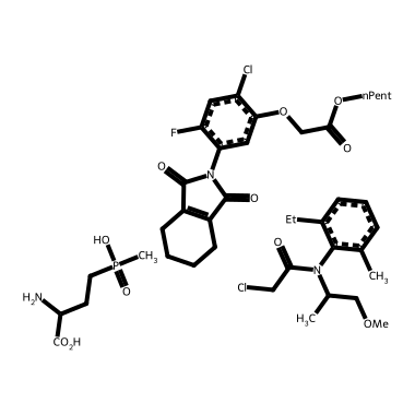 CCCCCOC(=O)COc1cc(N2C(=O)C3=C(CCCC3)C2=O)c(F)cc1Cl.CCc1cccc(C)c1N(C(=O)CCl)C(C)COC.CP(=O)(O)CCC(N)C(=O)O